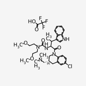 COCCN(CCOC)C(=O)NC(C(=O)N1C[C@@H](CN(C)C)Cc2cc(Cl)ccc21)C(C)c1c[nH]c2ccccc12.O=C(O)C(F)(F)F